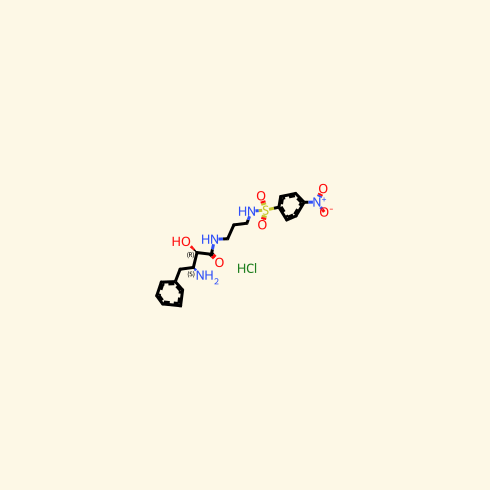 Cl.N[C@@H](Cc1ccccc1)[C@@H](O)C(=O)NCCCNS(=O)(=O)c1ccc([N+](=O)[O-])cc1